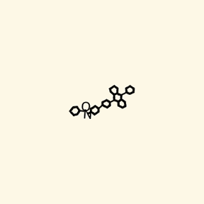 c1ccc(-c2nc3ccc(-c4ccc(-c5c6ccccc6c(-c6ccccc6)c6ccccc56)cc4)cc3o2)cc1